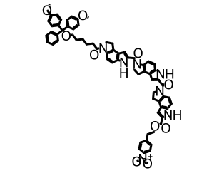 COc1ccc(C(OCCCCCC(=O)N2CCc3c2ccc2[nH]c(C(=O)N4CCc5c4ccc4[nH]c(C(=O)N6CCc7c6ccc6[nH]c(C(=O)OCCc8ccc([N+](=O)[O-])cc8)cc76)cc54)cc32)(c2ccccc2)c2ccc(OC)cc2)cc1